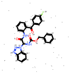 O=C(NC(C(=O)Nc1ccccc1C(=O)c1ccc(F)cc1)n1nnc2ccccc21)OCc1ccccc1